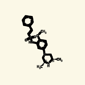 COc1ccc(N2C[C@@H](C)N[C@@H](C)C2)cc1NS(=O)(=O)C=Cc1ccccc1